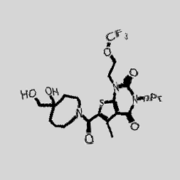 CCCn1c(=O)c2c(C)c(C(=O)N3CCC(O)(CO)CC3)sc2n(CCOC(F)(F)F)c1=O